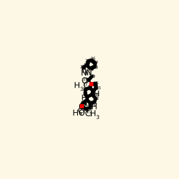 COC[C@]12CC[C@@](C)(O)C[C@H]1CC[C@H]1[C@@H]3CC[C@H](C(=O)Cn4ncc5ccccc54)[C@@]3(C)CC[C@@H]12